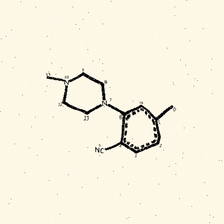 Cc1ccc(C#N)c(N2CCN(C)CC2)c1